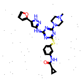 CN1CCN(c2nc(Nc3cc(-c4ccco4)[nH]n3)nc(Sc3cccc(NC(=O)C4CC4)c3)n2)CC1